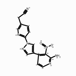 N#CCc1ccc(-n2cc(-c3ccnc(N)c3[N+](=O)[O-])cn2)nc1